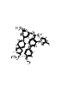 CCOC(=O)[C@@H]1CC2(CCN(c3cc(O[C@H](c4ccc(-c5ccc(OCC)cc5)cc4-n4ccc(C)n4)C(F)(F)F)nc(N)n3)CC2)CN1